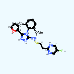 COc1cccc(OC)c1-n1c(NSCCc2ncc(F)cn2)nnc1-c1ccco1